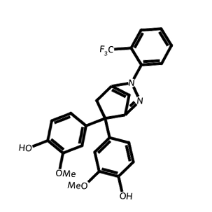 COc1cc(C2(c3ccc(O)c(OC)c3)Cc3cc2nn3-c2ccccc2C(F)(F)F)ccc1O